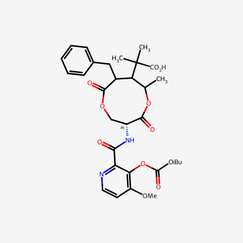 COc1ccnc(C(=O)N[C@@H]2COC(=O)C(Cc3ccccc3)C(C(C)(C)C(=O)O)C(C)OC2=O)c1OC(=O)OCC(C)C